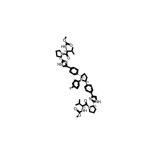 COC(=O)N[C@H](C(=O)N1CCC[C@H]1c1nc(-c2ccc([C@@H]3CC[C@@H](c4ccc(-c5c[nH]c([C@@H]6CCCN6C(=O)[C@@H](NC(=O)OC)C(C)C)n5)cc4)N3c3ccc(F)cc3)cc2)c[nH]1)C(C)C